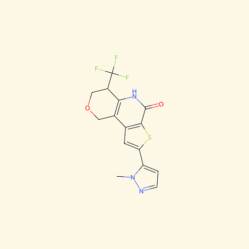 Cn1nccc1-c1cc2c3c([nH]c(=O)c2s1)C(C(F)(F)F)COC3